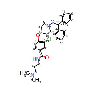 CN(C)CCCNC(=O)c1ccc(OC2CCN(CC(c3ccccc3)c3ccccc3)CC2)c(Cl)c1